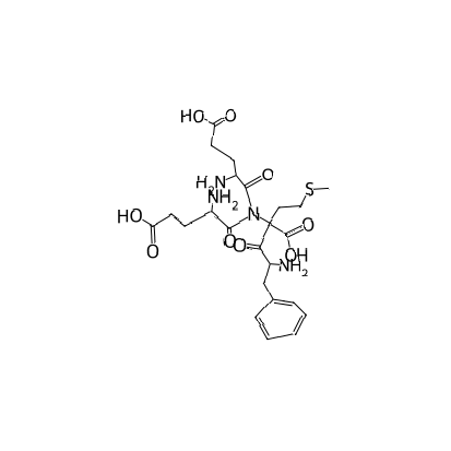 CSCCC(C(=O)O)(C(=O)C(N)Cc1ccccc1)N(C(=O)C(N)CCC(=O)O)C(=O)C(N)CCC(=O)O